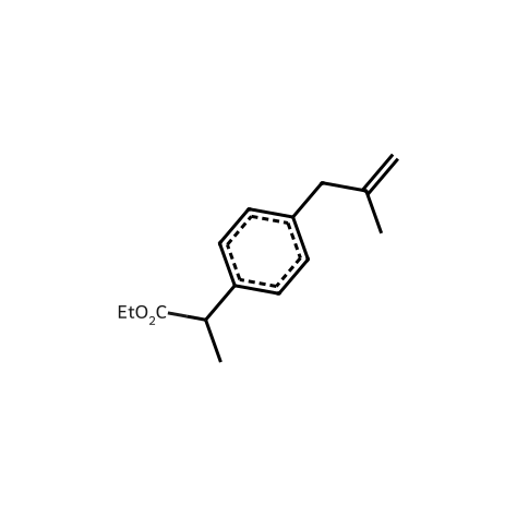 C=C(C)Cc1ccc(C(C)C(=O)OCC)cc1